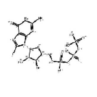 Nc1nc2c(nc(I)n2[C@@H]2O[C@H](COP(=O)(O)OP(=O)(O)OP(=O)(O)O)[C@@H](O)[C@H]2O)c(=O)[nH]1